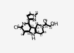 Cc1c(Cl)nc(-c2ccn(C)n2)c2c3c([nH]c12)CCN(C(=O)CO)C3